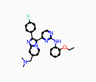 CCOc1ccccc1Nc1nccc(-c2c(-c3ccc(F)cc3)nc3cc(CN(C)C)ccn23)n1